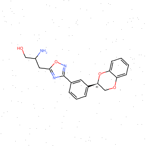 NC(CO)Cc1nc(-c2cccc([C@@H]3COc4ccccc4O3)c2)no1